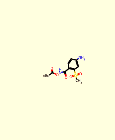 CCCCC(=O)ONC(=O)c1ccc(N)cc1S(C)(=O)=O